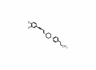 CCCc1ccc([C@H]2CC[C@H](C=CC#Cc3ccc(F)c(F)c3)CC2)cc1